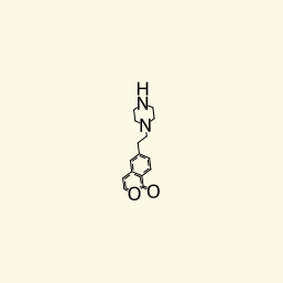 O=c1occc2cc(CCN3CCNCC3)ccc12